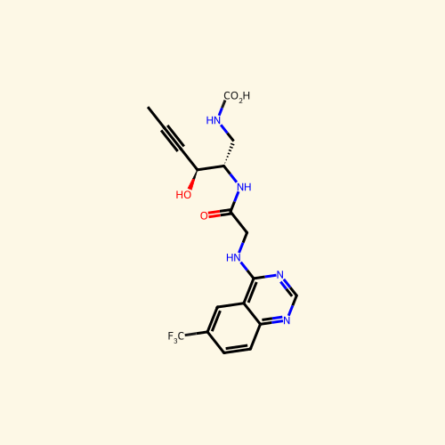 CC#C[C@H](O)[C@H](CNC(=O)O)NC(=O)CNc1ncnc2ccc(C(F)(F)F)cc12